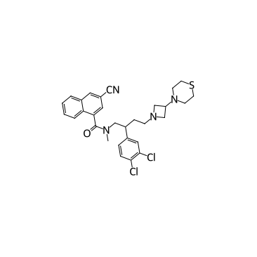 CN(CC(CCN1CC(N2CCSCC2)C1)c1ccc(Cl)c(Cl)c1)C(=O)c1cc(C#N)cc2ccccc12